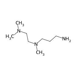 CN(C)CCN(C)CCCN